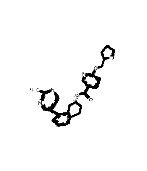 Cc1ncc(-c2cccc3c2C[C@H](NC(=O)c2ccc(OCC4CCCO4)nc2)CC3)cn1